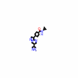 Cn1cc(-c2cnc3c(-c4ccc(C(=O)NC5CC5)cc4)cnn3c2)cn1